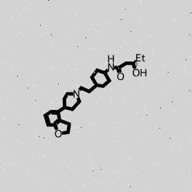 CC[C@@H](O)CC(=O)NC1CCC(CCN2CCC(c3cccc4c3CCO4)CC2)CC1